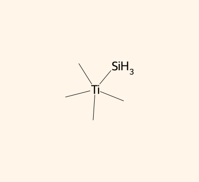 [CH3][Ti]([CH3])([CH3])([CH3])[SiH3]